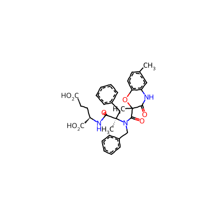 Cc1ccc2c(c1)NC(=O)C(C)(C(=O)N(Cc1ccccc1)[C@](C)(Cc1ccccc1)C(=O)N[C@H](CCC(=O)O)C(=O)O)O2